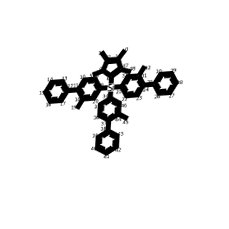 CC1=C(C)C(C)C([Si](c2ccc(-c3ccccc3)c(C)c2)(c2ccc(-c3ccccc3)c(C)c2)c2ccc(-c3ccccc3)c(C)c2)=C1C